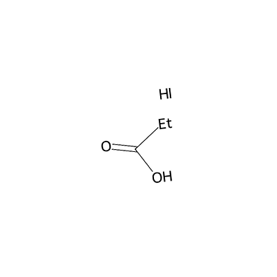 CCC(=O)O.I